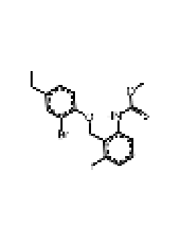 CCc1ccc(OCc2c(I)cccc2NC(=S)OC)c(Br)c1